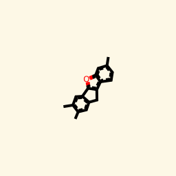 Cc1ccc2c3c(oc2c1)-c1cc(C)c(C)cc1C3